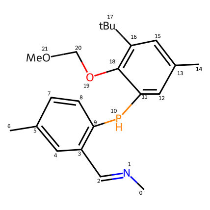 C/N=C/c1cc(C)ccc1Pc1cc(C)cc(C(C)(C)C)c1OCOC